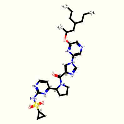 CCCC(CCC)CC(C)Oc1cncc(-n2cnc(C(=O)N3CCCC3c3ccnc(NS(=O)(=O)C4CC4)n3)c2)n1